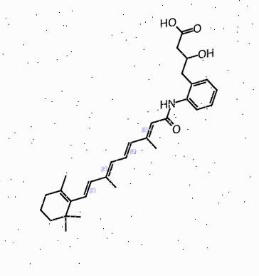 CC1=C(/C=C/C(C)=C/C=C/C(C)=C/C(=O)Nc2ccccc2CC(O)CC(=O)O)C(C)(C)CCC1